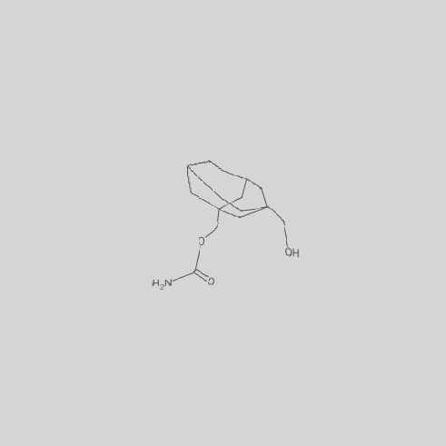 NC(=O)OCC12CC3CC(CC(CO)(C3)C1)C2